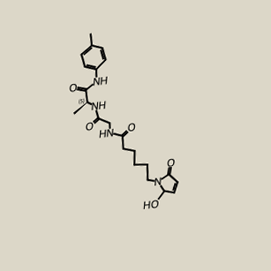 Cc1ccc(NC(=O)[C@H](C)NC(=O)CNC(=O)CCCCCN2C(=O)C=CC2O)cc1